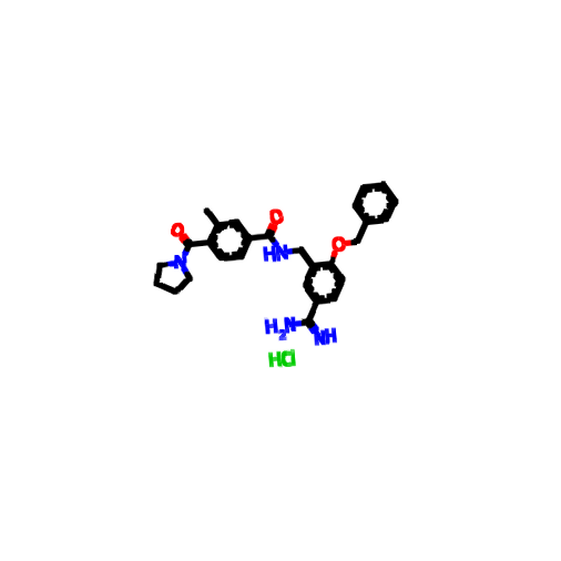 Cc1cc(C(=O)NCc2cc(C(=N)N)ccc2OCc2ccccc2)ccc1C(=O)N1CCCC1.Cl